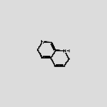 C1=CC2=CC[N]C=C2NC1